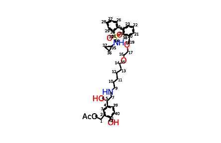 CC(=O)OCc1cc([C@@H](O)CNCCCCCCOCCOCc2cccc(-c3ccccc3S(=O)(=O)NC3CC3)c2)ccc1O